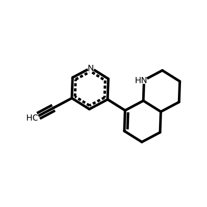 C#Cc1cncc(C2=CCCC3CCCNC23)c1